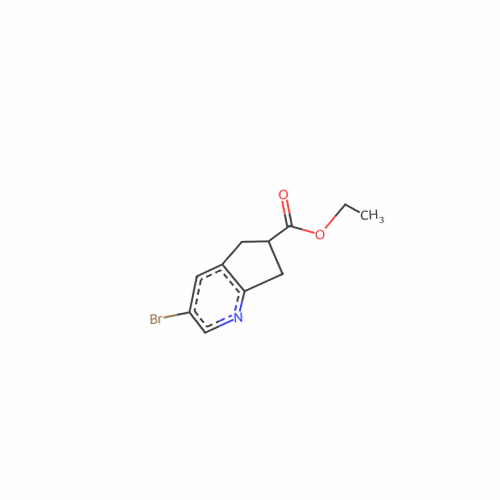 CCOC(=O)C1Cc2cc(Br)cnc2C1